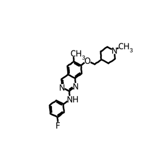 Cc1cc2cnc(Nc3cccc(F)c3)nc2cc1OCC1CCN(C)CC1